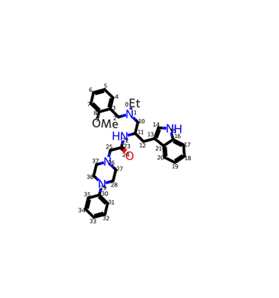 CCN(Cc1ccccc1OC)CC(Cc1c[nH]c2ccccc12)NC(=O)CN1CCN(c2ccccc2)CC1